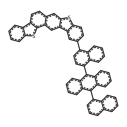 c1ccc2c(-c3c4ccccc4c(-c4ccc(-c5ccc6sc7cc8ccc9c%10ccccc%10sc9c8cc7c6c5)c5ccccc45)c4ccccc34)cccc2c1